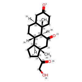 C[C@]12CCC(=O)C[C@@H]1CC[C@H]1[C@@H]3CC[C@H](C(=O)CO)[C@@]3(C)CC(=O)[C@@H]12